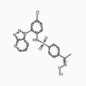 CCO/N=C(/C)c1ccc(S(=O)(=O)Nc2ccc(Cl)cc2-n2nnc3ncccc32)cc1